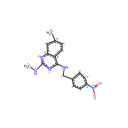 CNc1nc(NCc2ccc([N+](=O)[O-])cc2)c2ccc(C)cc2n1